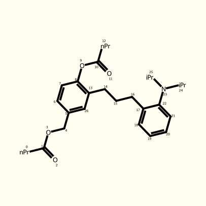 CCCC(=O)OCc1ccc(OC(=O)CCC)c(CCCc2ccccc2N(C(C)C)C(C)C)c1